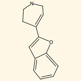 C1=C(c2cc3ccccc3o2)CC[N]C1